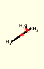 CCCCCCCCCCOCOC=CCCC(OCCCC)OCCCC